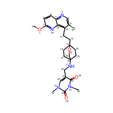 COc1ccc2ncc(F)c(CCC34CCC(NCc5cn(C)c(=O)n(C)c5=O)(CC3)CO4)c2n1